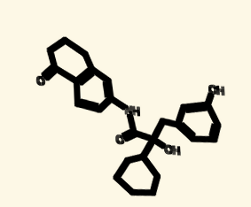 O=C1CCCc2cc(NC(=O)C(O)(Cc3cccc(O)c3)C3CCCCC3)ccc21